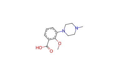 COc1c(C(=O)O)cccc1N1CCN(C)CC1